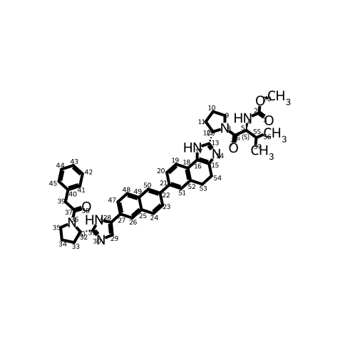 COC(=O)N[C@H](C(=O)N1CCC[C@H]1c1nc2c([nH]1)-c1ccc(-c3ccc4cc(-c5cnc([C@@H]6CCCN6C(=O)Cc6ccccc6)[nH]5)ccc4c3)cc1CC2)C(C)C